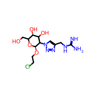 N=C(N)NCc1cn(C2C(O)[C@H](O)C(CO)O[C@@H]2OCCCl)nn1